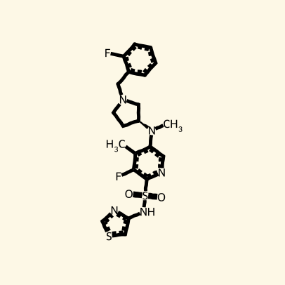 Cc1c(N(C)[C@H]2CCN(Cc3ccccc3F)C2)cnc(S(=O)(=O)Nc2cscn2)c1F